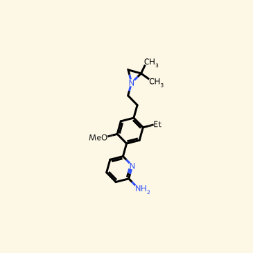 CCc1cc(-c2cccc(N)n2)c(OC)cc1CCN1CC1(C)C